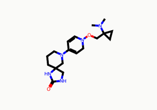 CN(C)C1(CON2C=CC(N3CCCC4(CNC(=O)N4)C3)=CC2)CC1